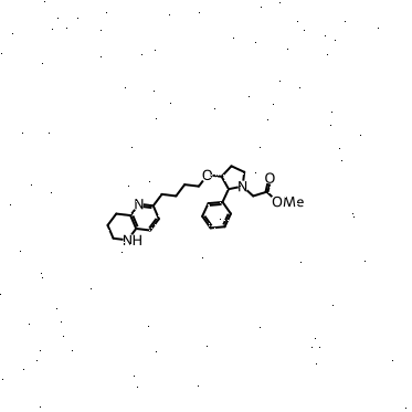 COC(=O)CN1CCC(OCCCCc2ccc3c(n2)CCCN3)C1c1ccccc1